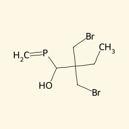 C=PC(O)C(CC)(CBr)CBr